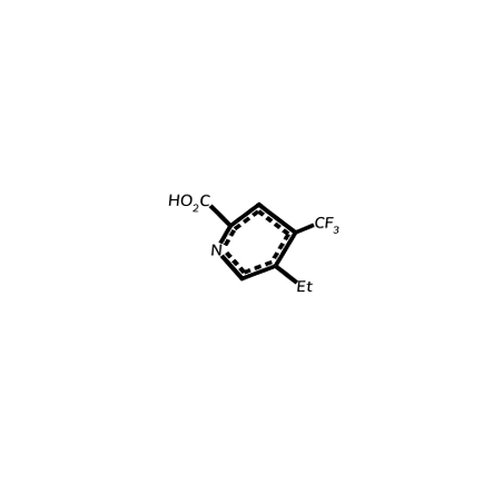 CCc1cnc(C(=O)O)cc1C(F)(F)F